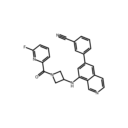 N#Cc1cccc(-c2cc(NC3CN(C(=O)c4cccc(F)n4)C3)c3cnccc3c2)c1